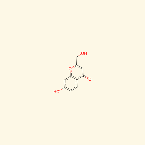 O=c1cc(CO)oc2cc(O)ccc12